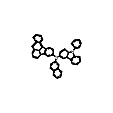 C1=CC2c3cc(N(C4=CC5c6ccccc6N(c6ccccc6)C5C=C4)c4ccc5ccccc5c4)ccc3C3=c4ccccc4=CC(=C1)C32